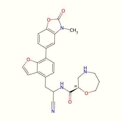 Cn1c(=O)oc2ccc(-c3ccc(CC(C#N)NC(=O)[C@H]4CNCCCO4)c4ccoc34)cc21